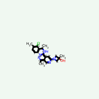 Cc1cccc([C@@H](C)Nc2nnc(C)c3cnc(N4CC(C)(O)C4)cc23)c1Cl